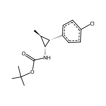 C[C@@H]1[C@@H](NC(=O)OC(C)(C)C)[C@H]1c1ccc(Cl)cc1